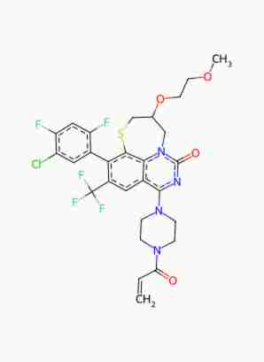 C=CC(=O)N1CCN(c2nc(=O)n3c4c(c(-c5cc(Cl)c(F)cc5F)c(C(F)(F)F)cc24)SCC(OCCOC)C3)CC1